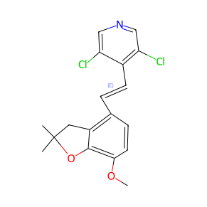 COc1ccc(/C=C/c2c(Cl)cncc2Cl)c2c1OC(C)(C)C2